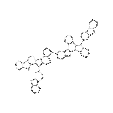 c1ccc2c(c1)sc1cc(-n3c4ccc5c(-c6ccc7sc8c(c7c6)c6ccccc6c6c8c7ccccc7n6-c6ccc7c(c6)sc6ccccc67)cccc5c4c4ccc5c6ccccc6sc5c43)ccc12